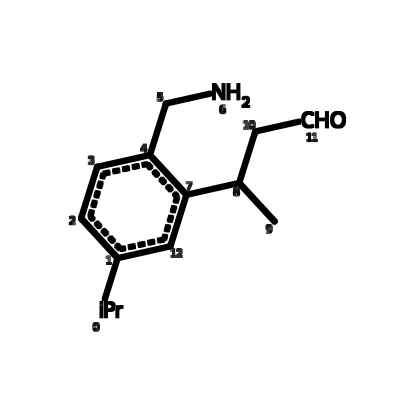 CC(C)c1ccc(CN)c(C(C)CC=O)c1